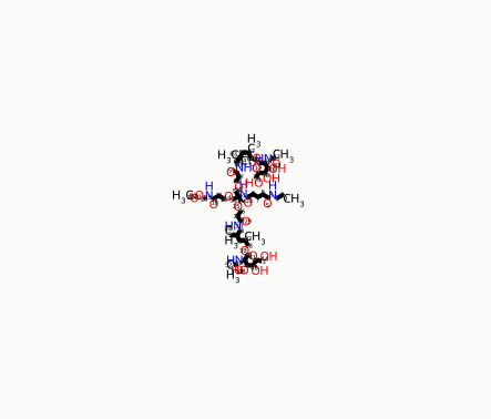 CCCNC(=O)CCCC(=O)NC(COCCC(=O)NCOOC)(COCCC(=O)NCC(CC)CC(C)COC1OC(CO)C(O)C(O)C1NC(C)=O)COCCC(=O)NCC(C)(C)CC(C)COC1OC(CO)C(O)C(O)C1NC(C)=O